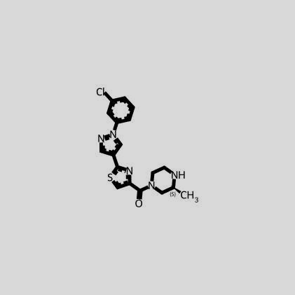 C[C@H]1CN(C(=O)c2csc(-c3cnn(-c4cccc(Cl)c4)c3)n2)CCN1